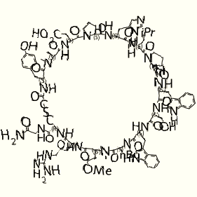 CCCC[C@H]1C(=O)N(C)[C@@H](CCOC)C(=O)N[C@@H](CCCNC(=N)N)C(=O)N[C@H](C(=O)NCC(N)=O)CSCC(=O)N[C@@H](Cc2ccc(O)cc2)C(=O)N(C)[C@@H](C)C(=O)N[C@@H](CC(=O)O)C(=O)N2CCC[C@H]2C(=O)N[C@@H](Cc2cnc[nH]2)C(=O)N[C@@H](CC(C)C)C(=O)N2CCC[C@@H]2C(=O)N[C@@H](Cc2c[nH]c3ccccc23)C(=O)N[C@@H](CO)C(=O)N[C@@H](Cc2c[nH]c3ccccc23)C(=O)N1C